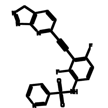 O=S(=O)(Nc1ccc(F)c(C#Cc2ccc3c(n2)N=NC3)c1F)c1cccnc1